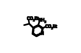 CCOC(=O)c1nccc(C(C)C(=O)OCC)c1N